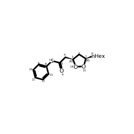 CCCCCC[C@@H]1C[C@H](CC(=O)Sc2ccccc2)OO1